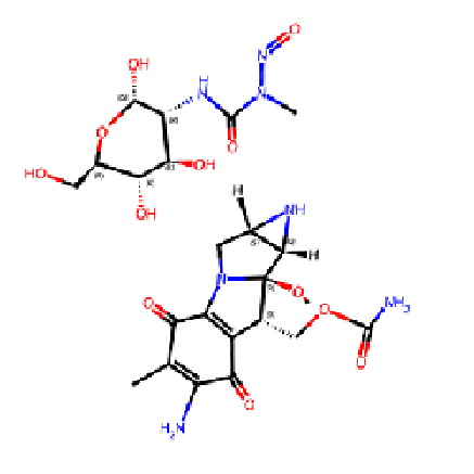 CN(N=O)C(=O)N[C@@H]1[C@@H](O)[C@H](O)[C@@H](CO)O[C@@H]1O.CO[C@@]12[C@H](COC(N)=O)C3=C(C(=O)C(C)=C(N)C3=O)N1C[C@@H]1N[C@@H]12